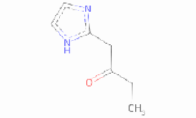 CCC(=O)Cc1ncc[nH]1